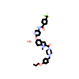 Br.CCCOc1ccc(CN2CCN(C(=O)c3cc4cc(Oc5ccc(NC(=O)c6ccc(C(F)(F)F)cc6)cn5)ccc4n3C)CC2)cc1